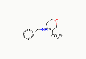 CCOC(=O)C1=C(NCc2ccccc2)CCOC1